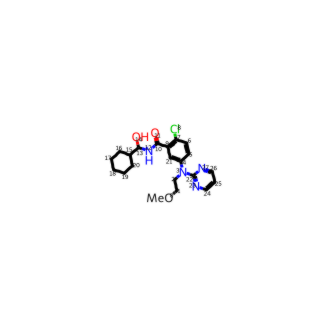 COCCN(c1ccc(Cl)c(C(=O)NC(O)C2CCCCC2)c1)c1ncccn1